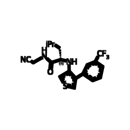 CC(C)C[C@H](Nc1cscc1-c1cccc(C(F)(F)F)c1)C(=O)NCC#N